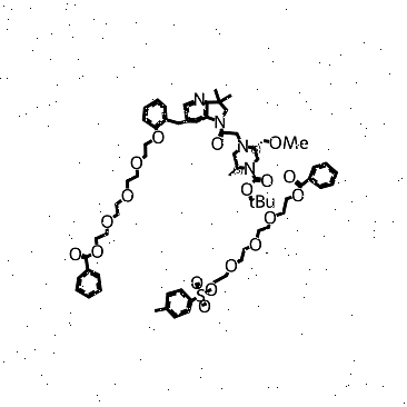 COC[C@@H]1CN(C(=O)OC(C)(C)C)[C@@H](C)CN1CC(=O)N1CC(C)(C)c2ncc(Cc3ccccc3OCCOCCOCCOCCOC(=O)c3ccccc3)cc21.Cc1ccc(S(=O)(=O)OCCOCCOCCOCCOC(=O)c2ccccc2)cc1